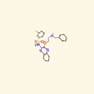 Cc1cccc(S(=O)(=O)Nc2nc3ccccc3nc2OCCN(C)Cc2ccccc2)c1